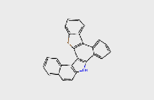 c1ccc2c(c1)ccc1[nH]c3c4ccccc4c4c5ccccc5sc4c3c12